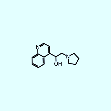 OC(CN1CCCC1)c1ccnc2ccccc12